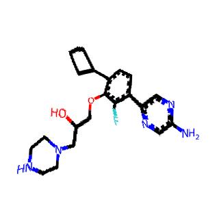 Nc1cnc(-c2ccc(C3CCC3)c(OCC(O)CN3CCNCC3)c2F)cn1